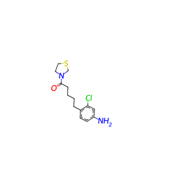 Nc1ccc(CCCCC(=O)N2CCSC2)c(Cl)c1